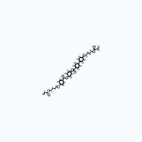 C=CC(=O)OCCCCOc1ccc(C(=O)Oc2ccc(OC(=O)c3ccc(-c4ccc(OCCCCOC(=O)C=C)cc4)cc3)cc2)cc1